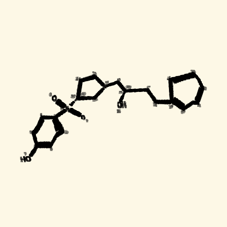 O=S(=O)(c1ccc(O)cc1)[C@@H]1CCN(C[C@H](O)CCc2ccccc2)C1